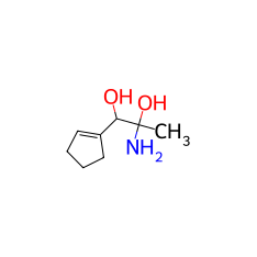 CC(N)(O)C(O)C1=CCCC1